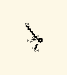 CCCCCCCCCCC(=O)N(SC(C)C)c1ccccc1SCCCC(=O)O